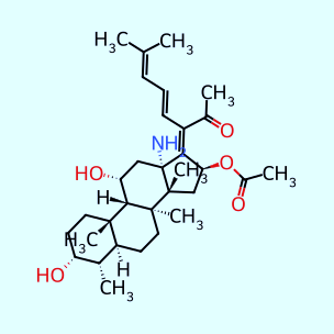 CC(=O)O[C@H]1C[C@@]2(C)[C@@](N)(C[C@@H](O)[C@H]3[C@@]4(C)CC[C@@H](O)[C@@H](C)[C@@H]4CC[C@@]32C)/C1=C(\C=C\C=C(C)C)C(C)=O